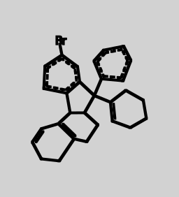 Brc1ccc2c(c1)C(C1=CCCCC1)(c1ccccc1)C1CCC3=C(C=CCC3)C21